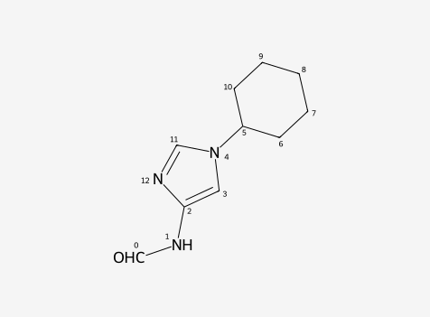 O=CNc1cn(C2CCCCC2)cn1